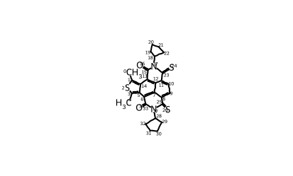 Cc1sc(C)c2c3c4c(ccc5c4c(c12)C(=O)N(C1CCCC1)C5=S)C(=S)N(C1CCCC1)C3=O